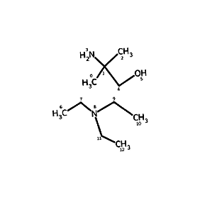 CC(C)(N)CO.CCN(CC)CC